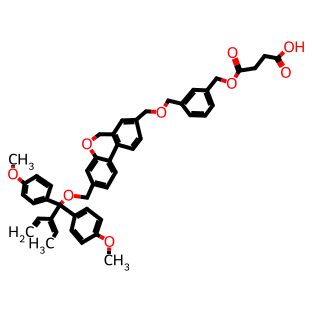 C=C/C(=C\C)C(OCc1ccc2c(c1)OCc1cc(COCc3cccc(COC(=O)CCC(=O)O)c3)ccc1-2)(c1ccc(OC)cc1)c1ccc(OC)cc1